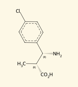 C[C@@H](C(=O)O)[C@@H](N)c1ccc(Cl)cc1